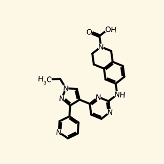 CCn1cc(-c2ccnc(Nc3ccc4c(c3)CCN(C(=O)O)C4)n2)c(-c2cccnc2)n1